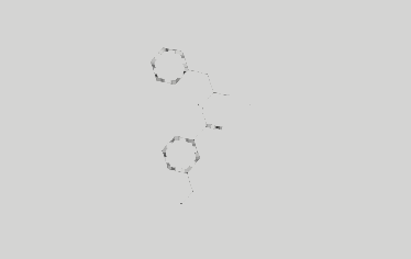 O=C(NC(Cc1ccccc1)C(=O)O)c1cccc(CCl)c1